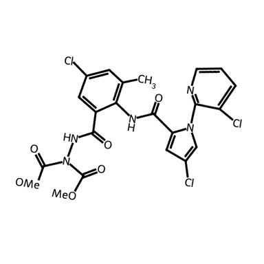 COC(=O)N(NC(=O)c1cc(Cl)cc(C)c1NC(=O)c1cc(Cl)cn1-c1ncccc1Cl)C(=O)OC